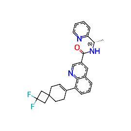 C[C@H](NC(=O)c1cnc2c(C3=CCC4(CC3)CC(F)(F)C4)cccc2c1)c1ccccn1